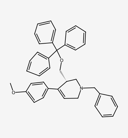 COc1ccc(C2=CCN(Cc3ccccc3)C[C@H]2COC(c2ccccc2)(c2ccccc2)c2ccccc2)cc1